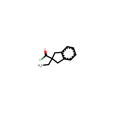 CCC1(C(=O)Cl)Cc2ccccc2C1